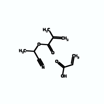 C=C(C)C(=O)OC(C)C#N.C=CC(=O)O